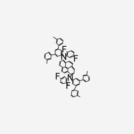 Cc1cccc(-c2cc(-c3cccc(C)c3)cc(N(c3cc(F)ccc3F)c3ccc4ccc5c(N(c6cc(-c7cccc(C)c7)cc(-c7cccc(C)c7)c6)c6cc(F)ccc6F)ccc6ccc3c4c65)c2)c1